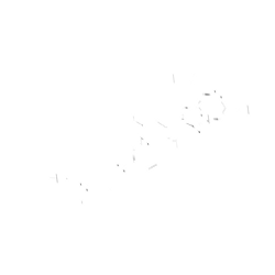 Cc1cn2nc(C3=CC(=O)N4C=C(N5CCC(N(C)C)CC5)C=CC4P3)cc2c(C)n1